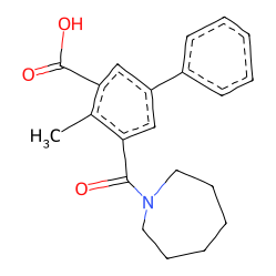 Cc1c(C(=O)O)cc(-c2ccccc2)cc1C(=O)N1CCCCCC1